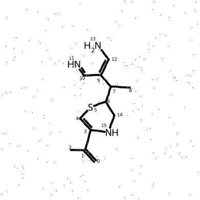 C=C(C)C1=CSC(C(C)/C(C=N)=C/N)CN1